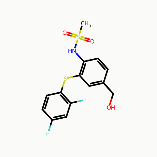 CS(=O)(=O)Nc1ccc(CO)cc1Sc1ccc(F)cc1F